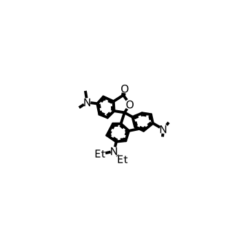 CCN(CC)c1ccc(C2(c3ccc(N(C)C)cc3)OC(=O)c3cc(N(C)C)ccc32)c(C)c1